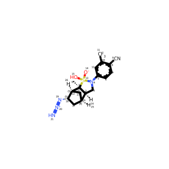 C[C@@]12[C@@H](CN(c3ccc(C#N)c(C(F)(F)F)c3)S1([O-])O)[C@H]1C[C@H](N=[N+]=N)[C@@H]2C1